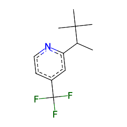 CC(c1cc(C(F)(F)F)ccn1)C(C)(C)C